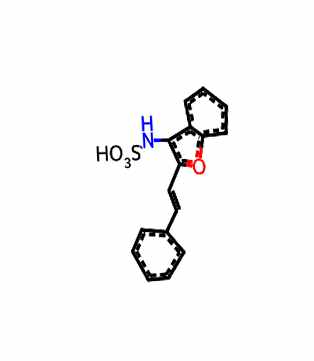 O=S(=O)(O)Nc1c(C=Cc2ccccc2)oc2ccccc12